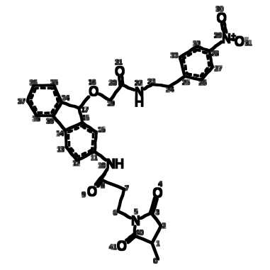 CC1CC(=O)N(CCC(=O)Nc2ccc3c(c2)C(OCC(=O)NCCc2ccc([N+](=O)[O-])cc2)c2ccccc2-3)C1=O